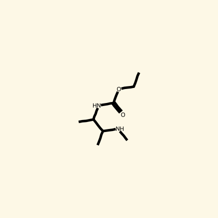 CCOC(=O)NC(C)C(C)NC